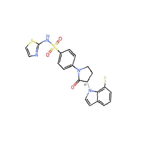 O=C1[C@@H](n2ccc3cccc(F)c32)CCN1c1ccc(S(=O)(=O)Nc2nccs2)cc1